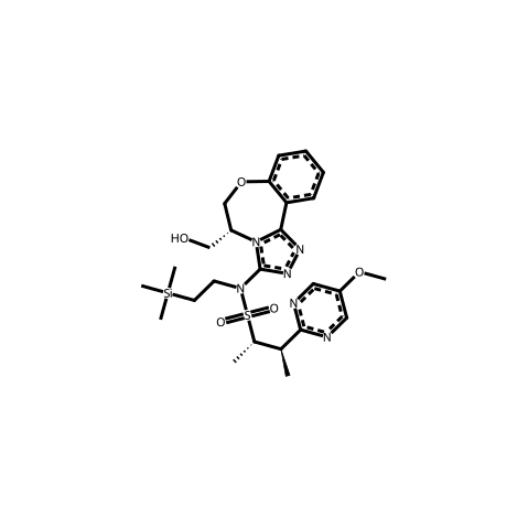 COc1cnc([C@@H](C)[C@H](C)S(=O)(=O)N(CC[Si](C)(C)C)c2nnc3n2[C@H](CO)COc2ccccc2-3)nc1